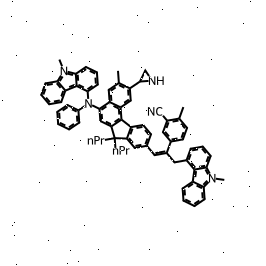 CCCC1(CCC)c2cc(/C=C(/Cc3cccc4c3c3ccccc3n4C)c3ccc(C)c(C#N)c3)ccc2-c2c1cc(N(c1ccccc1)c1cccc3c1c1ccccc1n3C)c1cc(C)c(C3CN3)cc21